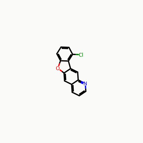 Clc1cccc2oc3cc4cccnc4cc3c12